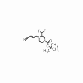 CC(C)(C)OC(=O)N1CCN(CC=CC#N)C(C(F)F)C1